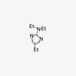 CCc1cnc(N(CC)CC)nc1